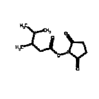 CC(CC(=O)ON1C(=O)CCC1=O)N(C)C